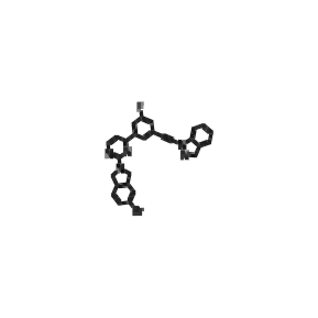 Fc1cc(C#Cn2ncc3ccccc32)cc(-c2ccnc(N3Cc4ccc(Br)cc4C3)n2)c1